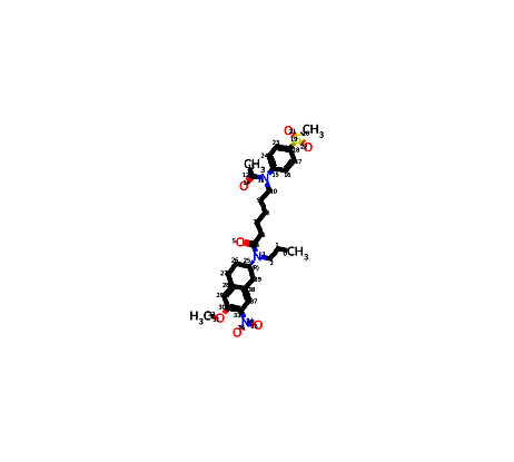 CCCN(C(=O)CCCCCN(C(C)=O)c1ccc(S(C)(=O)=O)cc1)[C@@H]1CCc2cc(OC)c([N+](=O)[O-])cc2C1